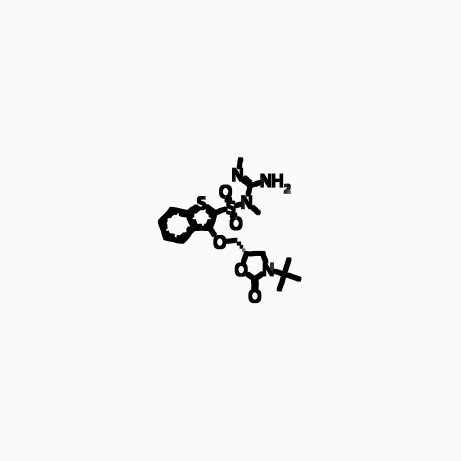 CN=C(N)N(C)S(=O)(=O)c1sc2ccccc2c1OC[C@@H]1CN(C(C)(C)C)C(=O)O1